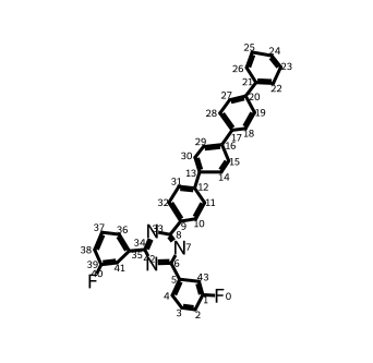 Fc1cccc(-c2nc(-c3ccc(-c4ccc(-c5ccc(-c6ccccc6)cc5)cc4)cc3)nc(-c3cccc(F)c3)n2)c1